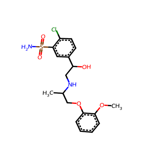 COc1ccccc1OCC(C)NCC(O)c1ccc(Cl)c(S(N)(=O)=O)c1